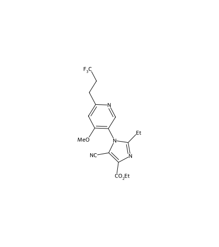 CCOC(=O)c1nc(CC)n(-c2cnc(CCC(F)(F)F)cc2OC)c1C#N